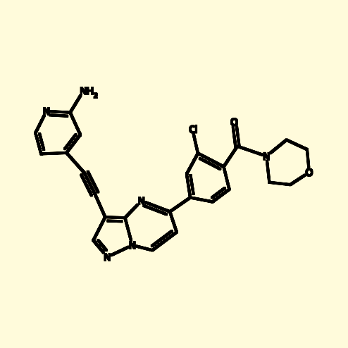 Nc1cc(C#Cc2cnn3ccc(-c4ccc(C(=O)N5CCOCC5)c(Cl)c4)nc23)ccn1